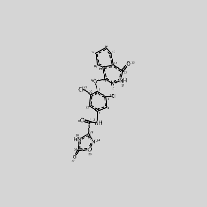 O=C(Nc1cc(Cl)c(Oc2n[nH]c(=O)c3ccccc23)c(Cl)c1)c1noc(=O)[nH]1